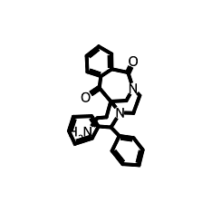 NCCC12CN(CCN1C(c1ccccc1)c1ccccc1)C(=O)c1ccccc1C2=O